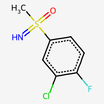 CS(=N)(=O)c1ccc(F)c(Cl)c1